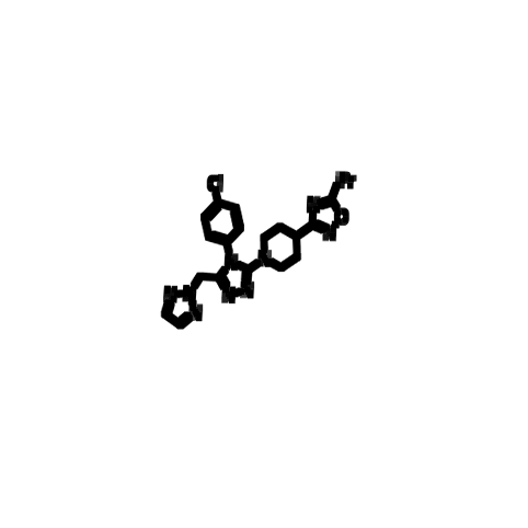 CC(C)c1nc(C2CCN(c3nnc(Cn4nccn4)n3-c3ccc(Cl)cc3)CC2)no1